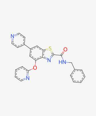 O=C(NCc1ccccc1)c1nc2c(Oc3ccccn3)cc(-c3ccncc3)cc2s1